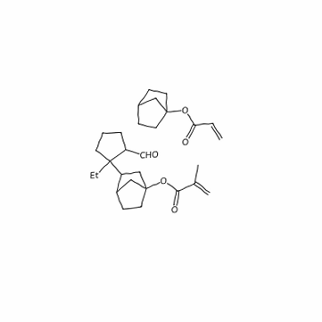 C=C(C)C(=O)OC12CCC(C1)C(C1(CC)CCCC1C=O)C2.C=CC(=O)OC12CCC(CC1)C2